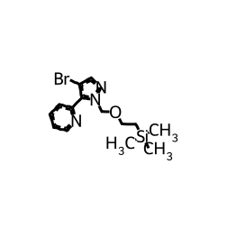 C[Si](C)(C)CCOCn1ncc(Br)c1-c1ccccn1